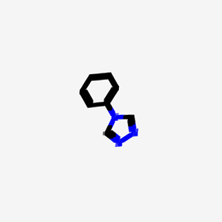 [c]1nncn1-c1ccccc1